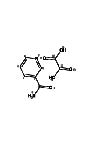 NC(=O)c1cccnc1.O=C(O)C(=O)O